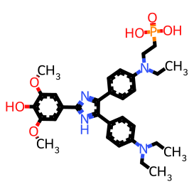 CCN(CC)c1ccc(-c2[nH]c(-c3cc(OC)c(O)c(OC)c3)nc2-c2ccc(N(CC)CCP(=O)(O)O)cc2)cc1